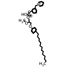 CCCCCCCCCCCCCCc1ccc(OCC(COP(=O)(O)Oc2cccc(C[n+]3ccccc3)c2)OC)cc1